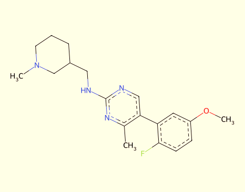 COc1ccc(F)c(-c2cnc(NCC3CCCN(C)C3)nc2C)c1